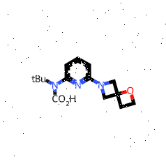 CC(C)(C)N(C(=O)O)c1cccc(N2CC3(CCO3)C2)n1